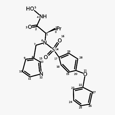 CC(C)[C@H](C(=O)NO)N(Cc1cccnc1)S(=O)(=O)c1ccc(Oc2ccccc2)cc1